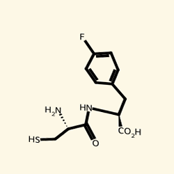 N[C@@H](CS)C(=O)N[C@@H](Cc1ccc(F)cc1)C(=O)O